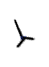 CCCCCCCCCCCCCCCCCCC[n+]1cc(CCCCCCCCC)cc(CCCCCCCCC)c1